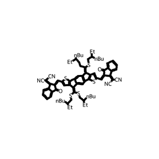 CCCCC(CC)CC/C(SCC(CC)CCCC)=C1\c2cc3c(cc2-c2sc(/C=C4\C(=O)c5ccccc5C4=C(C#N)C#N)cc21)C(=C(SCC(CC)CCCC)SCC(CC)CCCC)c1cc(/C=C2\C(=O)c4ccccc4C2=C(C#N)C#N)sc1-3